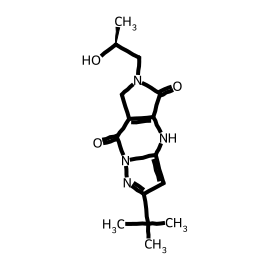 C[C@H](O)CN1Cc2c([nH]c3cc(C(C)(C)C)nn3c2=O)C1=O